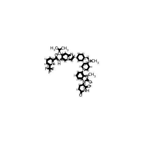 CC(C)Oc1cc2nc([C@H]3CC[C@H](CN(C)C4CCN(c5cccc6c5n(C)c(=O)n6C5CCC(=O)NC5=O)CC4)CC3)cn2cc1NC(=O)c1cccc(C(F)(F)F)n1